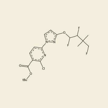 CC(C)(C)OC(=O)c1ccc(-n2ccc(OC(F)C(F)C(C)(C)CF)n2)nc1Cl